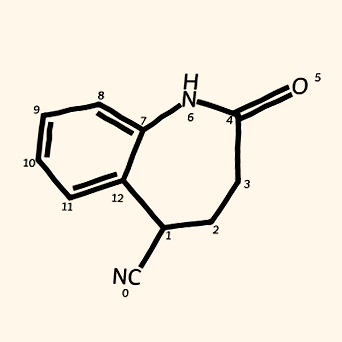 N#CC1CCC(=O)Nc2ccccc21